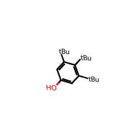 CC(C)(C)c1cc(O)cc(C(C)(C)C)c1C(C)(C)C